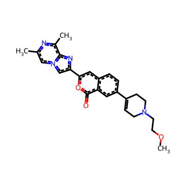 COCCN1CC=C(c2ccc3cc(-c4cn5cc(C)nc(C)c5n4)oc(=O)c3c2)CC1